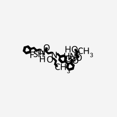 CCCC(=O)N(CCC(=O)NC[C@H](S)Cc1ccccc1F)Cc1ccc(-c2ccccc2S(=O)(=O)NC(=O)[C@H](C)O)cc1